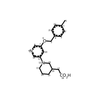 Cc1ccc(COc2cncc(N3CCCC(CC(=O)O)C3)c2)cc1